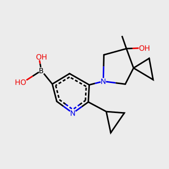 CC1(O)CN(c2cc(B(O)O)cnc2C2CC2)CC12CC2